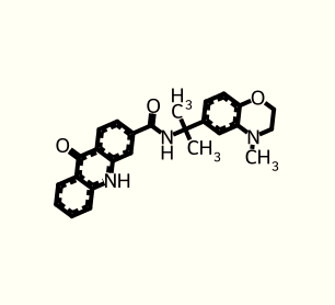 CN1CCOc2ccc(C(C)(C)NC(=O)c3ccc4c(=O)c5ccccc5[nH]c4c3)cc21